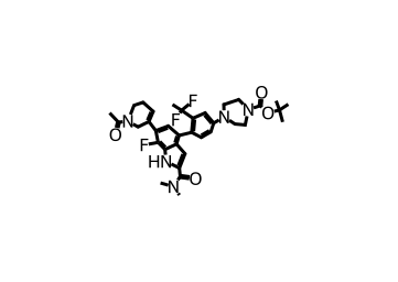 CC(=O)N1CCC=C(c2cc(-c3ccc(N4CCN(C(=O)OC(C)(C)C)CC4)cc3C(C)(F)F)c3cc(C(=O)N(C)C)[nH]c3c2F)C1